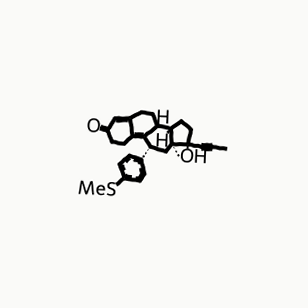 CC#C[C@]1(O)CC[C@H]2[C@@H]3CCC4=CC(=O)CCC4=C3[C@@H](c3ccc(SC)cc3)C[C@@]21C